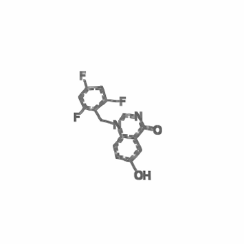 O=c1ncn(Cc2c(F)cc(F)cc2F)c2ccc(O)cc12